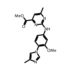 COC(=O)c1cc(C)nc(Nc2ccc(-n3cnc(C)c3)c(OC)c2)n1